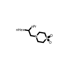 CCCCCCC(CCC)CN1CCS(=O)(=O)CC1